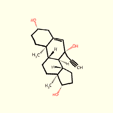 C#C[C@]1(O)C=C2C[C@@H](O)CC[C@]2(C)[C@H]2CC[C@]3(C)[C@@H](O)CC[C@H]3[C@@H]21